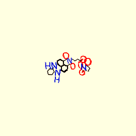 O=C(CCCN1C(=O)c2c#cc3c4c(ccc(c24)C1=O)NC1CCCCC1N3)ON1C(=O)CCC1=O